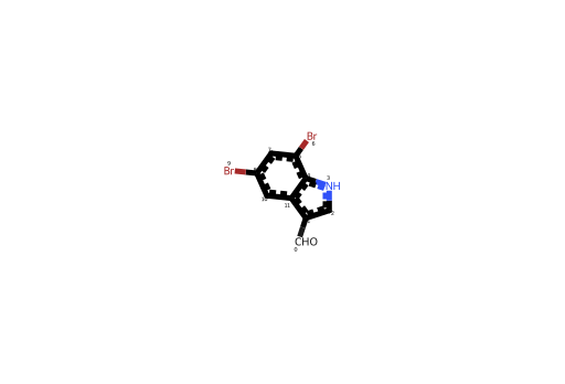 O=Cc1c[nH]c2c(Br)cc(Br)cc12